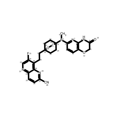 CN(c1ccc2c(n1)NC(=O)CO2)C12CCC(CCc3c(F)cnc4ccc(C#N)nc34)(CC1)OC2